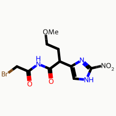 COCCC(C(=O)NC(=O)CBr)c1c[nH]c([N+](=O)[O-])n1